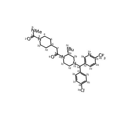 CNC(=O)N1CCC(CC(=O)N2CCN(C(c3ccc(Cl)cc3)c3ccc(C(F)(F)F)nc3)C[C@@H]2C(C)(C)C)CC1